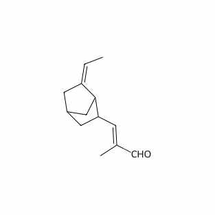 CC=C1CC2CC(C=C(C)C=O)C1C2